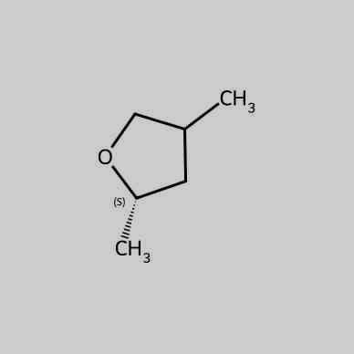 CC1CO[C@@H](C)C1